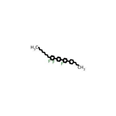 C=CCCC1CC=C(c2ccc(-c3ccc(-c4ccc(CCCCCCCCC)c(F)c4F)cc3)c(F)c2)CC1